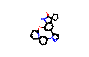 O=C1Nc2c(Oc3ccccn3)cc(-c3ccnn3-c3ccccc3)cc2C12CCCC2